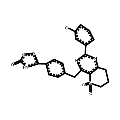 O=c1[nH]c(-c2ccc(Cc3nc(-c4cccc(Cl)c4)nc4c3S(=O)(=O)CCC4)cc2)no1